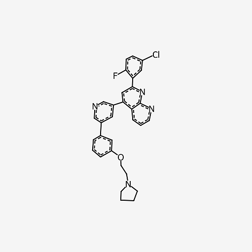 Fc1ccc(Cl)cc1-c1cc(-c2cncc(-c3cccc(OCCN4CCCC4)c3)c2)c2cccnc2n1